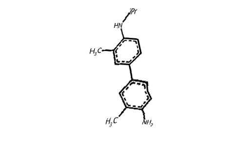 Cc1cc(-c2ccc(NC(C)C)c(C)c2)ccc1N